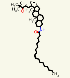 CCCCCCCC/C=C\CCCCCCCC(=O)N[C@H]1CC[C@@]2(C)C(CCC3C2CC[C@@]2(C)C3CCC2[C@H](C)CCC(=O)C(C)(C)C)C1